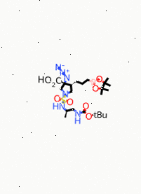 C[C@H](CNC(=O)OC(C)(C)C)NS(=O)(=O)N1C[C@@H](CCCB2OC(C)(C)C(C)(C)O2)[C@](N=[N+]=[N-])(C(=O)O)C1